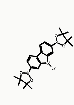 CC1(C)OB(c2ccc3c4ccc(B5OC(C)(C)C(C)(C)O5)cc4[s+]([O-])c3c2)OC1(C)C